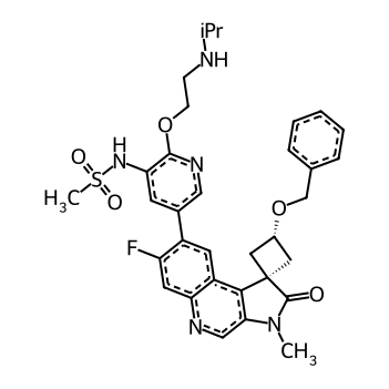 CC(C)NCCOc1ncc(-c2cc3c(cc2F)ncc2c3[C@]3(C[C@@H](OCc4ccccc4)C3)C(=O)N2C)cc1NS(C)(=O)=O